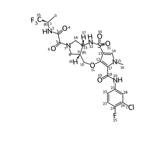 C[C@@H](NC(=O)C(=O)N1C[C@H]2COc3c(cn(C)c3C(=O)Nc3ccc(F)c(Cl)c3)S(=O)(=O)N[C@H]2C1)C(F)(F)F